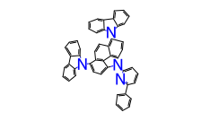 c1ccc(-c2cccc(-n3c4ccc(-n5c6ccccc6c6ccccc65)c5ccc6c(-n7c8ccccc8c8ccccc87)ccc3c6c54)n2)cc1